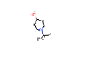 CC(C)C(C)N1CCC(O)CC1